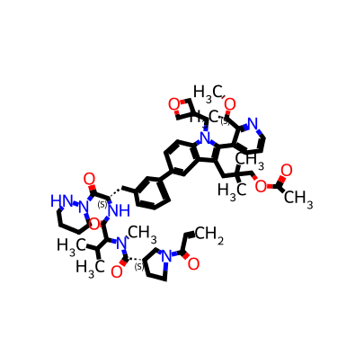 C=CC(=O)N1CC[C@H](C(=O)N(C)C(C(=O)N[C@@H](Cc2cccc(-c3ccc4c(c3)c(CC(C)(C)COC(C)=O)c(-c3cccnc3[C@H](C)OC)n4CC3COC3)c2)C(=O)N2CCCCN2)C(C)C)C1